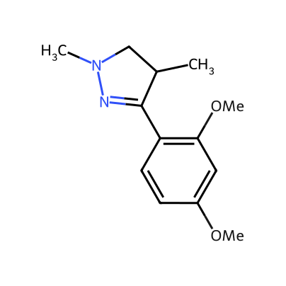 COc1ccc(C2=NN(C)CC2C)c(OC)c1